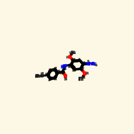 CCOC1=CC(=[N+]=[N-])C(OCC)C=C1NC(=O)c1ccc(OC)cc1